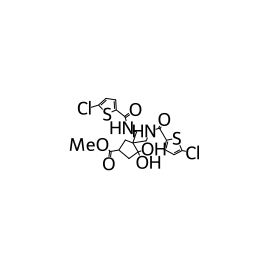 COC(=O)C1CC(O)(O)C(CNC(=O)c2ccc(Cl)s2)(CNC(=O)c2ccc(Cl)s2)C1